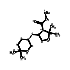 CCCCOC(=O)N1C(C[C@H]2CCC(C)(C)OC2)COC1(C)C